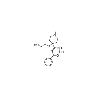 O=C(N=C(NO)C1(OCCO)CCNCC1)c1ccccc1